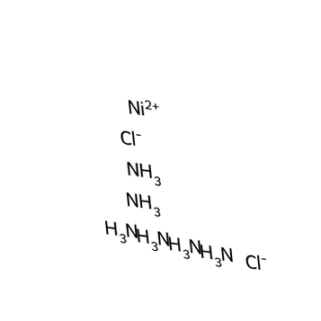 N.N.N.N.N.N.[Cl-].[Cl-].[Ni+2]